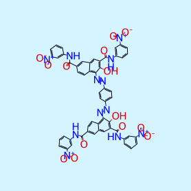 O=C(Nc1cccc([N+](=O)[O-])c1)c1ccc2c(N=Nc3ccc(N=Nc4c(O)c(C(=O)Nc5cccc([N+](=O)[O-])c5)cc5cc(C(=O)Nc6cccc([N+](=O)[O-])c6)ccc45)cc3)c(O)c(C(=O)Nc3cccc([N+](=O)[O-])c3)cc2c1